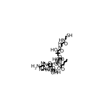 CC(C)(COP(=O)(O)OP(=O)(O)OC[C@H]1O[C@@H](n2cnc3c(N)ncnc32)[C@H](O)[C@@H]1OP(=O)(O)O)C(O)C(=O)NCCC(=O)NCCS.CC=CCCC(=O)O